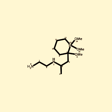 COC1(CC(C)NCCN)CCCC[Si]1(OC)OC